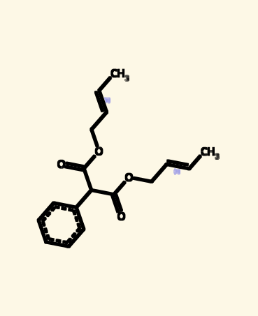 C/C=C/COC(=O)C(C(=O)OC/C=C/C)c1ccccc1